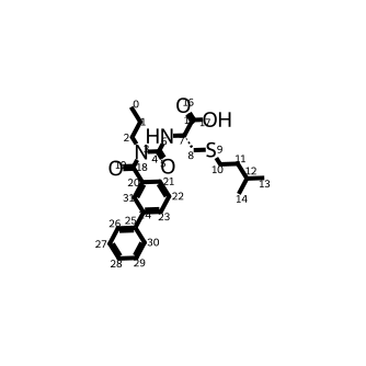 CCCN(C(=O)N[C@@H](CSCCC(C)C)C(=O)O)C(=O)c1cccc(-c2ccccc2)c1